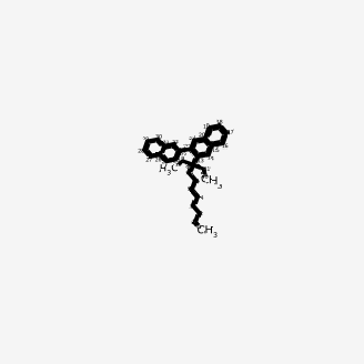 CCCCCCCCC(CC)(CC)c1cc2ccccc2cc1-c1ccc2ccccc2c1